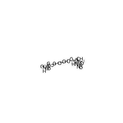 CN1C[C@H](Nc2nc3ccccn3c(=O)c2Br)C[C@H](c2cccc(OCCOCCOCCOc3ccc4c(c3)C(=O)N(C3CCC(=O)NC3=O)C4=O)c2)C1